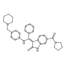 O=C1Nc2cc(C(=O)N3CCCC3)ccc2/C1=C(/Nc1ccc(CN2CCCCC2)cc1)c1ccccc1